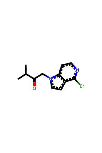 CC(C)C(=O)Cn1ccc2c(Br)nccc21